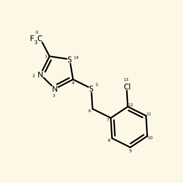 FC(F)(F)c1nnc(SCc2ccccc2Cl)s1